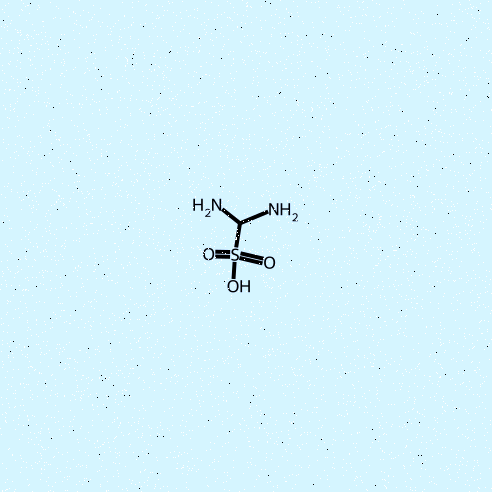 NC(N)S(=O)(=O)O